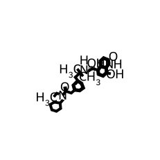 CCN(CC1CCCCC1)C(=O)Cc1cccc(CC(C)(C)NC[C@H](O)c2ccc(O)c3[nH]c(=O)ccc23)c1